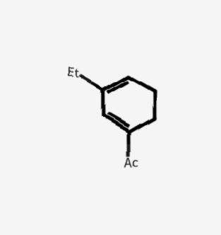 CCC1=CCCC(C(C)=O)=C1